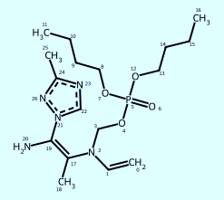 C=CN(COP(=O)(OCCCC)OCCCC)/C(C)=C(/N)n1cnc(C)n1